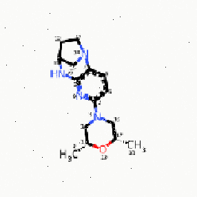 C[C@@H]1CN(c2ccc3c(n2)NC2CCN3C2)C[C@H](C)O1